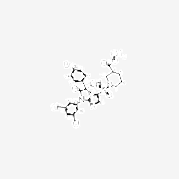 COC(=O)C1CCCN(S(=O)(=O)c2cnc3n2[C@](C)(c2ccc(Br)cc2)C(=O)N3c2cc(Cl)cc(Cl)c2)C1